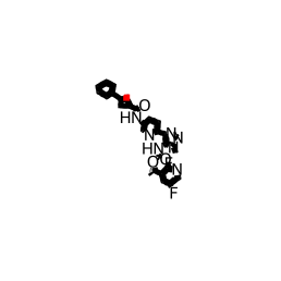 C[C@@H](OC(=O)Nc1c(-c2ccc(NC(=O)C34CC(c5ccccc5)(C3)C4)cn2)nnn1C)c1cc(F)cnc1F